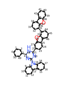 c1ccc(C2N=C(n3c4ccccc4c4ccccc43)N=C(c3ccc4c(c3)oc3c(-c5cccc6c5oc5ccccc56)cccc34)N2)cc1